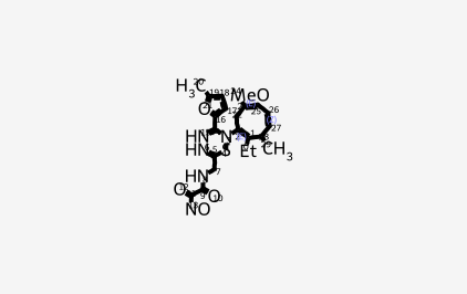 CC/C1=C(\N(SC(=N)CNC(=O)C(=O)N=O)C(=N)c2ccc(C)o2)C/C(OC)=C\C=C/C1C